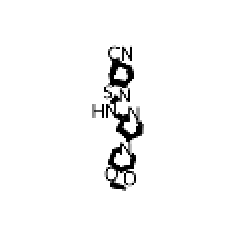 N#Cc1ccc2nc(Nc3cc(N4CCC5(CC4)OCCO5)ccn3)sc2c1